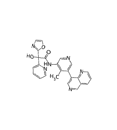 Cc1c(NC(=O)C(O)(c2ccccn2)c2ncco2)cncc1-c1cncc2cccnc12